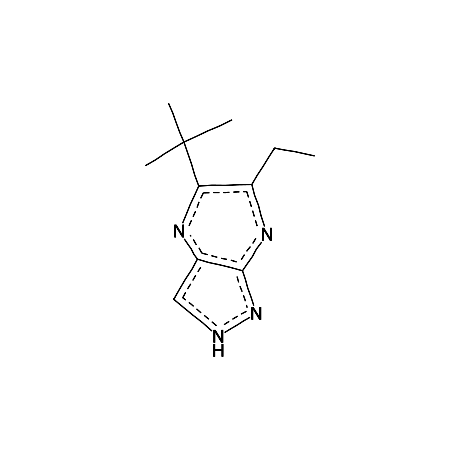 CCc1nc2n[nH]cc2nc1C(C)(C)C